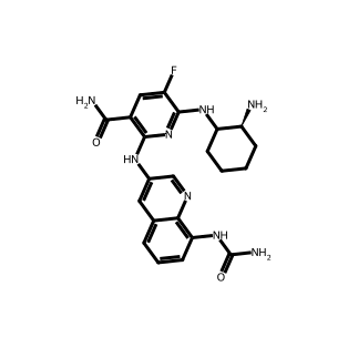 NC(=O)Nc1cccc2cc(Nc3nc(NC4CCCC[C@@H]4N)c(F)cc3C(N)=O)cnc12